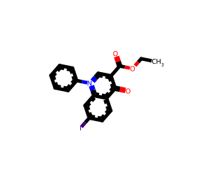 CCOC(=O)c1cn(-c2ccccc2)c2cc(I)ccc2c1=O